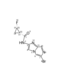 O=C(Nc1cn2cc(Br)ncc2n1)[C@@H]1C[C@@H]1F